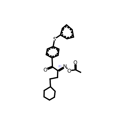 CC(=O)O/N=C(\CCC1CCCCC1)C(=O)c1ccc(Sc2ccccc2)cc1